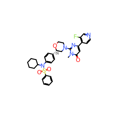 Cn1c(N2CCO[C@@H](c3ccc(N(C4CCCCC4)S(=O)(=O)c4ccccc4)cc3)C2)nc(-c2ccncc2F)cc1=O